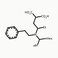 CCCCCCC(CCC)N(CCc1ccccc1)C(CC)CC(C(=O)O)C(=O)O